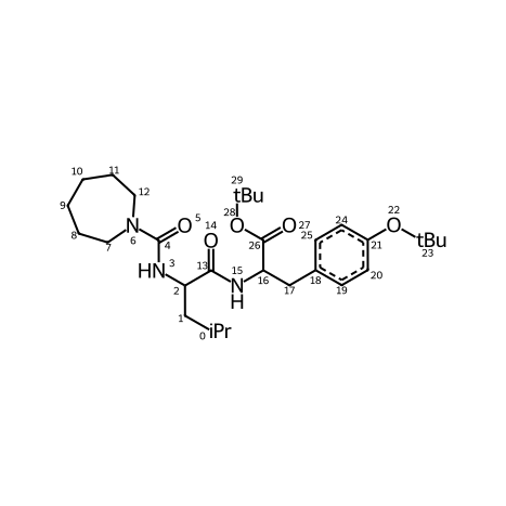 CC(C)CC(NC(=O)N1CCCCCC1)C(=O)NC(Cc1ccc(OC(C)(C)C)cc1)C(=O)OC(C)(C)C